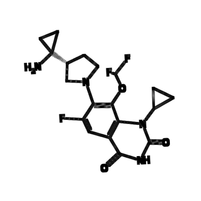 NC1([C@@H]2CCN(c3c(F)cc4c(=O)[nH]c(=O)n(C5CC5)c4c3OC(F)F)C2)CC1